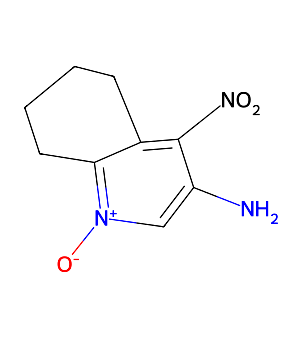 Nc1c[n+]([O-])c2c(c1[N+](=O)[O-])CCCC2